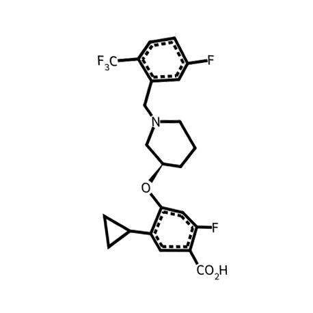 O=C(O)c1cc(C2CC2)c(O[C@@H]2CCCN(Cc3cc(F)ccc3C(F)(F)F)C2)cc1F